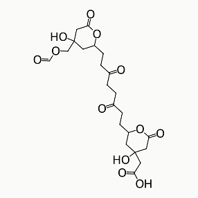 O=COCC1(O)CC(=O)OC(CCC(=O)CCC(=O)CCC2CC(O)(CC(=O)O)CC(=O)O2)C1